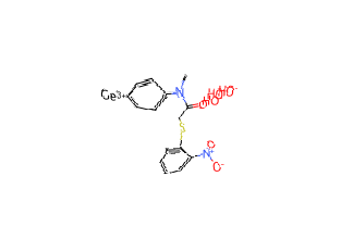 CN(C(=O)CSc1ccccc1[N+](=O)[O-])c1cc[c]([Ge+3])cc1.[OH-].[OH-].[OH-]